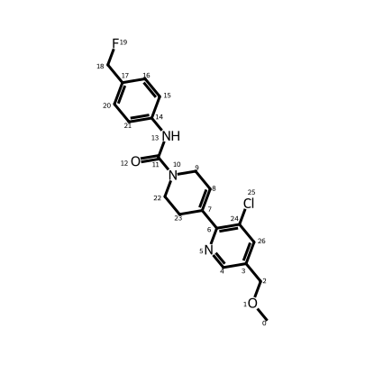 COCc1cnc(C2=CCN(C(=O)Nc3ccc(CF)cc3)CC2)c(Cl)c1